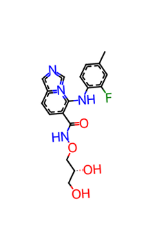 Cc1ccc(Nc2c(C(=O)NOC[C@H](O)CO)ccc3cncn23)c(F)c1